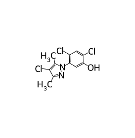 Cc1nn(-c2cc(O)c(Cl)cc2Cl)c(C)c1Cl